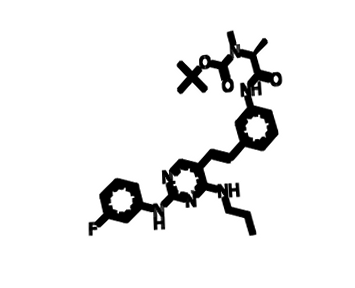 CCCNc1nc(Nc2cccc(F)c2)ncc1/C=C/c1cccc(NC(=O)[C@H](C)N(C)C(=O)OC(C)(C)C)c1